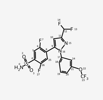 NS(=O)(=O)c1cc(F)c(-c2cc(C(F)F)nn2-c2cccc(OC(F)(F)F)c2)cc1F